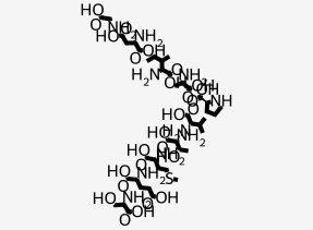 CC(C)C(N)C(=O)O.CC(N)C(=O)O.CC(O)C(N)C(=O)O.CCC(C)C(N)C(=O)O.CSCCC(N)C(=O)O.NC(CC(=O)O)C(=O)O.NC(CCC(=O)O)C(=O)O.NC(CO)C(=O)O.NCC(=O)O.O=C(O)[C@@H]1CCCN1